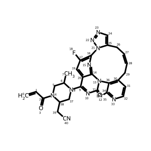 C=CC(=O)N1CC(C)N(c2nc(=O)n3c4nc(c(F)cc24)-n2nncc2C/C=C\Cc2ccnc(C(C)C)c2-3)CC1CC#N